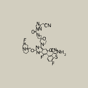 N#CCc1ncn(C(=O)N2CC3(C2)CN(c2nc(OC[C@@]45CCCN4C[C@H](F)C5)nc4c(F)c(-c5ccc(F)c6sc(N)c(C#N)c56)c(Cl)cc24)CCO3)n1